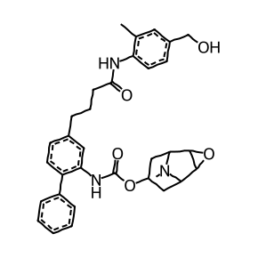 Cc1cc(CO)ccc1NC(=O)CCCc1ccc(-c2ccccc2)c(NC(=O)OC2CC3C4OC4C(C2)N3C)c1